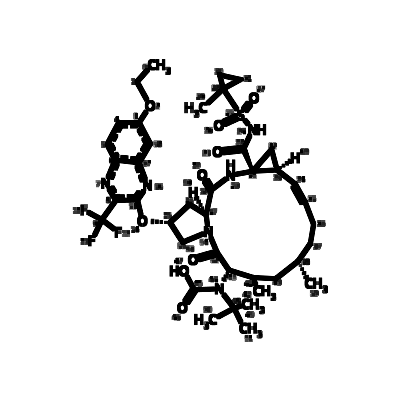 CCOc1ccc2nc(C(F)(F)F)c(O[C@@H]3C[C@H]4C(=O)N[C@]5(C(=O)NS(=O)(=O)C6(C)CC6)C[C@H]5C=CCC[C@H](C)C[C@@H](C)[C@H](N(C(=O)O)C(C)(C)C)C(=O)N4C3)nc2c1